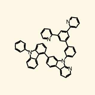 c1ccc(-n2c3ccccc3c3c(-c4ccc5c6cccnc6n(-c6cccc(-c7cc(-c8ccccn8)cc(-c8ccccn8)c7)c6)c5c4)cccc32)cc1